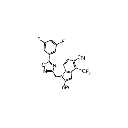 CCCc1cc2c(C(F)(F)F)c(C#N)ccc2n1Cc1noc(-c2cc(F)cc(F)c2)n1